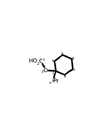 CC(C)C1(OC(=O)O)CCCCC1